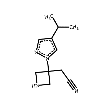 CC(C)c1cnn(C2(CC#N)CNC2)c1